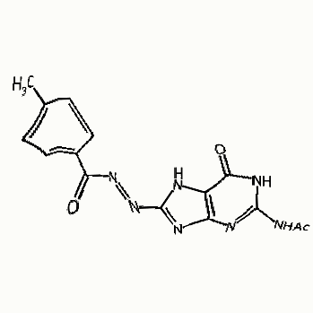 CC(=O)Nc1nc2nc(N=NC(=O)c3ccc(C)cc3)[nH]c2c(=O)[nH]1